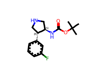 CC(C)(C)OC(=O)N[C@@H]1CNC[C@H]1c1cccc(F)c1